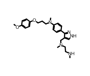 CNCCN(C)Cc1c[nH]nc1-c1ccc(N(C)CCCOc2ccc(OC)cc2)cc1